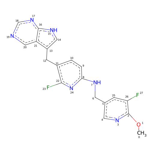 COc1ncc(CNc2ccc(Cc3c[nH]c4ncncc34)c(F)n2)cc1F